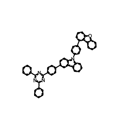 c1ccc(-c2nc(-c3ccccc3)nc(-c3ccc(-c4ccc5c(c4)c4ccccc4n5-c4ccc(-c5cccc6oc7ccccc7c56)cc4)cc3)n2)cc1